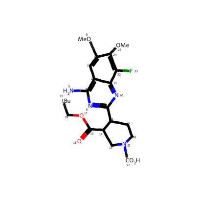 COc1cc2c(N)nc(C3CCN(C(=O)O)CC3C(=O)OCC(C)(C)C)nc2c(F)c1OC